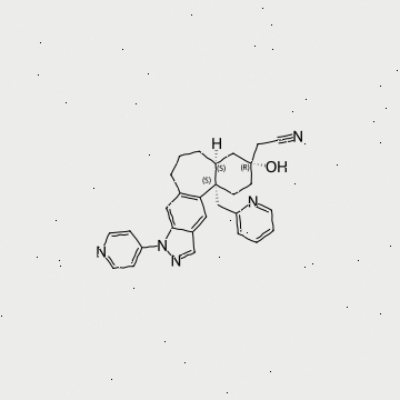 N#CC[C@@]1(O)CC[C@@]2(Cc3ccccn3)c3cc4cnn(-c5ccncc5)c4cc3CCC[C@H]2C1